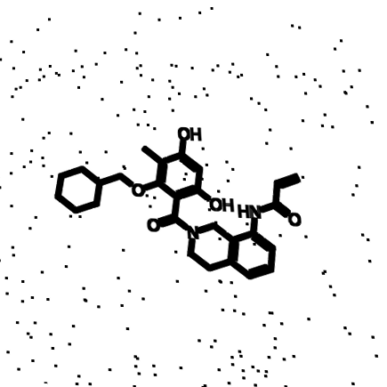 C=CC(=O)Nc1cccc2c1CN(C(=O)c1c(O)cc(O)c(C)c1OCC1CCCCC1)CC2